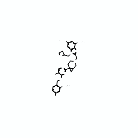 COc1cc(C#N)ccc1COc1nc(C23CCN(Cc4nc5c(OC)cc(C(=O)O)cc5n4CC4CCO4)CC2C3)ncc1C